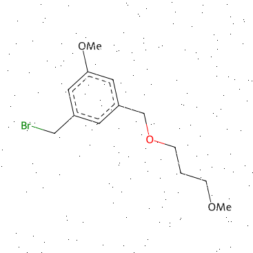 COCCCOCc1cc(CBr)cc(OC)c1